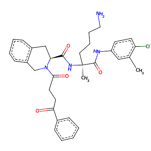 Cc1cc(NC(=O)[C@](C)(CCCCN)NC(=O)[C@@H]2Cc3ccccc3CN2C(=O)CCC(=O)c2ccccc2)ccc1Cl